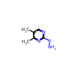 Cc1cnc([N]N)nc1C